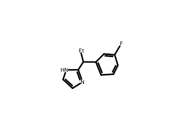 CCC(c1cccc(F)c1)c1ncc[nH]1